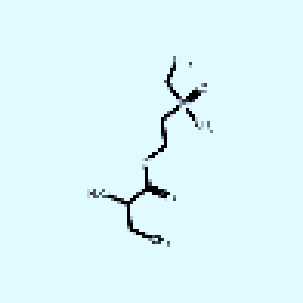 CCC(C)C(=O)OCCP(C)(=O)CC